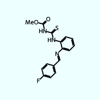 COC(=O)NC(=S)Nc1ccccc1N=Cc1ccc(F)cc1